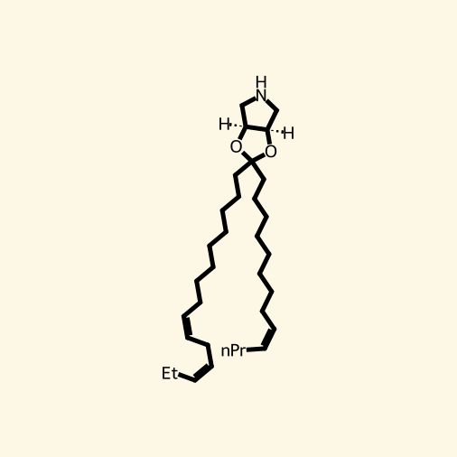 CC/C=C\C/C=C\CCCCCCCCC1(CCCCCCCC/C=C\CCC)O[C@H]2CNC[C@H]2O1